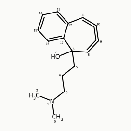 CN(C)CCCC1(O)C=C=C=Cc2ccccc21